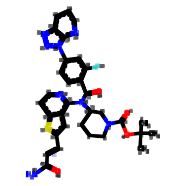 CC(C)(C)OC(=O)N1CCC[C@@H](N(C(=O)c2ccc(-n3nnc4cccnc43)cc2F)c2nccc3sc(/C=C/C(N)=O)cc23)C1